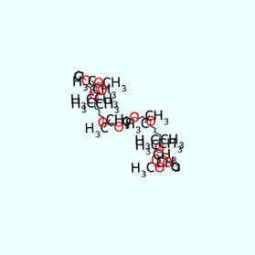 CC(=O)OC(C)(C)C(COc1ccccc1)COC(C)(C)C(C)(C)CCCCOC(C)(C)CCOc1ccc(OCCC(C)(C)OCCCCC(C)(C)C(C)(C)OCC(COc2ccccc2)C(C)(C)OC(C)=O)cc1